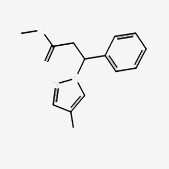 COC(=O)CC(c1ccccc1)n1cc(I)cn1